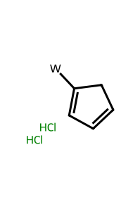 Cl.Cl.[W][C]1=CC=CC1